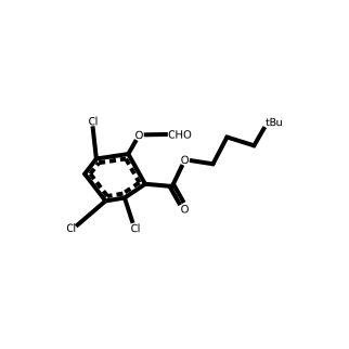 CC(C)(C)CCCOC(=O)c1c(Cl)c(Cl)cc(Cl)c1OC=O